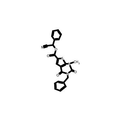 Cn1c(=O)n(Cc2ccccc2)c(=O)c2cc(C(=O)OC(C#N)c3ccccc3)sc21